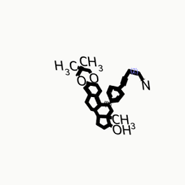 CC1(C)COC2(C=C3CCC4C(=C3CC2)[C@@H](c2ccc(C#C/C=C\C#N)cc2)CC2(C)C(O)CCC42)OC1